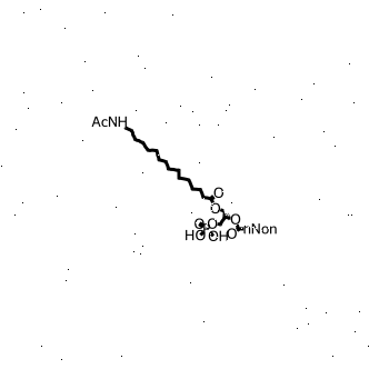 CCCCCCCCCC(=O)O[C@H](COC(=O)CCCCCCCCCCCCCCCNC(C)=O)COP(=O)(O)O